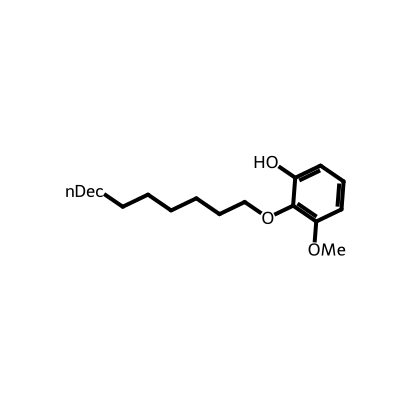 CCCCCCCCCCCCCCCCOc1c(O)cccc1OC